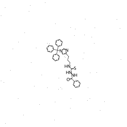 O=C(NNC(=S)NCCCc1cn(C(c2ccccc2)(c2ccccc2)c2ccccc2)cn1)c1ccccc1